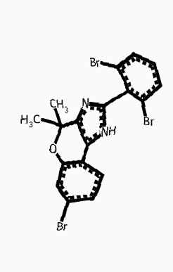 CC1(C)Oc2cc(Br)ccc2-c2[nH]c(-c3c(Br)cccc3Br)nc21